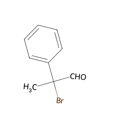 CC(Br)(C=O)c1ccccc1